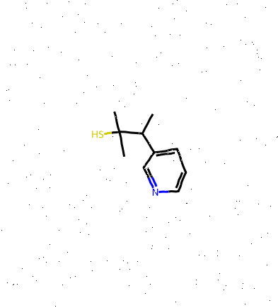 CC(c1cccnc1)C(C)(C)S